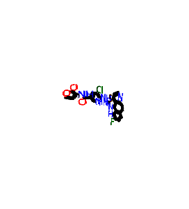 O=C(N[C@@H]1CCOC1=O)c1cnc(NNC(=S)NC2c3cc(F)ccc3CCc3ncccc32)c(Cl)c1